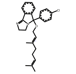 CC(C)=CCC/C(C)=C/COC1(c2ccc(Cl)cc2)c2ccccc2C2=NCCN21